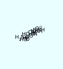 NCCP(=O)(O)OC[C@H]1O[C@@H](n2cnc3c(NC(=O)NC4CCCC4)ncnc32)[C@@H](O)C1O